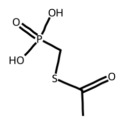 CC(=O)SCP(=O)(O)O